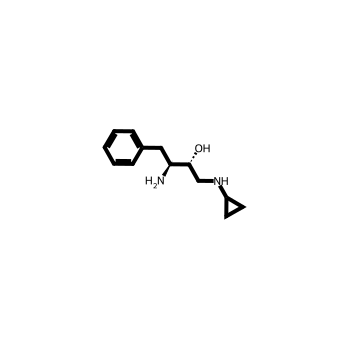 N[C@@H](Cc1ccccc1)[C@H](O)CNC1CC1